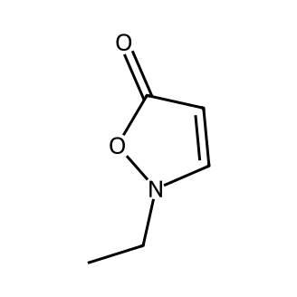 CCn1ccc(=O)o1